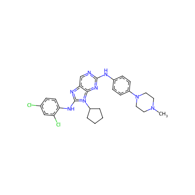 CN1CCN(c2ccc(Nc3ncc4nc(Nc5ccc(Cl)cc5Cl)n(C5CCCC5)c4n3)cc2)CC1